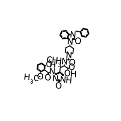 COc1cccc(OC)c1C(=O)Nc1nc(=O)[nH]cc1CC(NC(=O)N1CCC(n2c(=O)n(Cc3ccccc3)c3ccccc32)CC1)C(=O)O